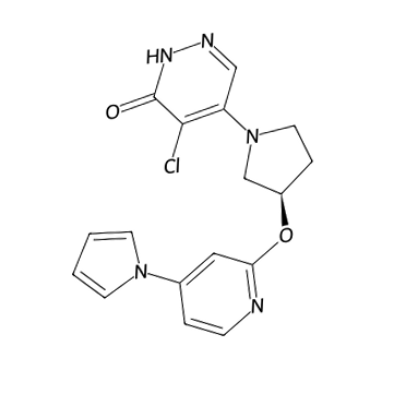 O=c1[nH]ncc(N2CC[C@@H](Oc3cc(-n4cccc4)ccn3)C2)c1Cl